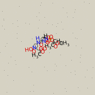 CCOC(=O)C(C)(C)COS(=O)(=O)ON1C(=O)N2C[C@H]1CC[C@H]2C(=O)NC1CCN(C(=O)O)C(Cc2oc(=O)oc2C)C1